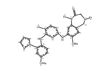 CCN1CC(=O)N(CC)c2cc(Nc3ncc(Cl)c(Nc4ccc(OC)cc4-n4cccn4)n3)c(OC)cc2C1